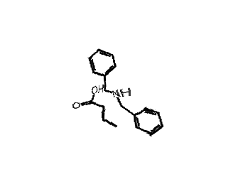 CCCC(=O)O.c1ccc(CNCc2ccccc2)cc1